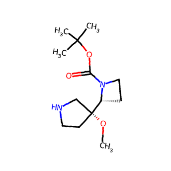 CO[C@]1([C@H]2CCN2C(=O)OC(C)(C)C)CCNC1